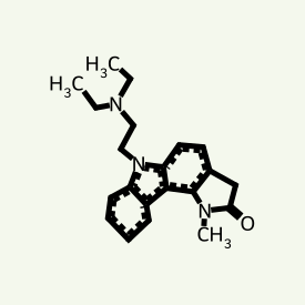 CCN(CC)CCn1c2ccccc2c2c3c(ccc21)CC(=O)N3C